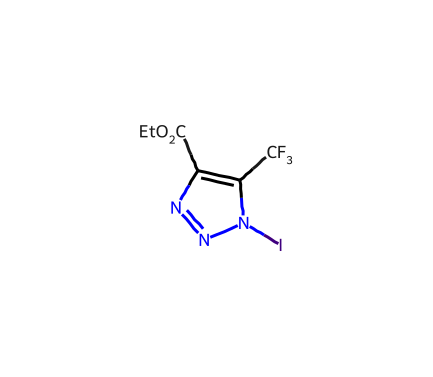 CCOC(=O)c1nnn(I)c1C(F)(F)F